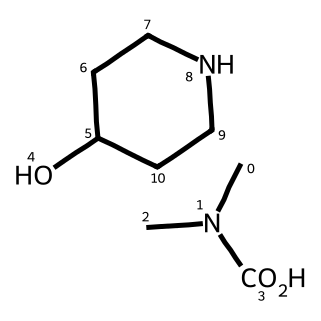 CN(C)C(=O)O.OC1CCNCC1